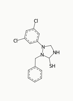 SC1NCN(c2cc(Cl)cc(Cl)c2)N1Cc1ccccc1